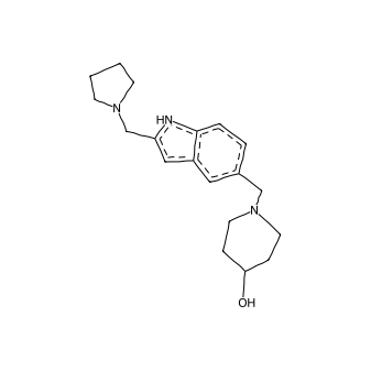 OC1CCN(Cc2ccc3[nH]c(CN4CCCC4)cc3c2)CC1